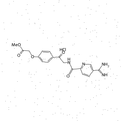 COC(=O)COc1ccc(C(=O)CNC(=O)c2ccc(C(=N)N)cn2)cc1.Cl